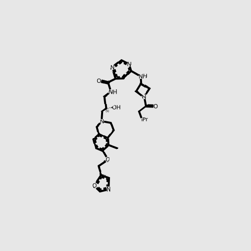 Cc1c(OCc2cnco2)ccc2c1CCN(C[C@@H](O)CNC(=O)c1cc(NC3CN(C(=O)CC(C)C)C3)ncn1)C2